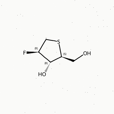 OC[C@@H]1S[CH][C@H](F)[C@H]1O